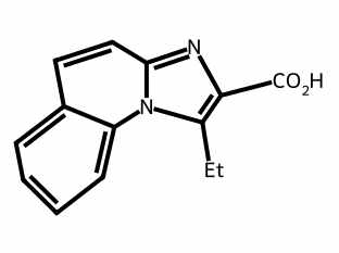 CCc1c(C(=O)O)nc2ccc3ccccc3n12